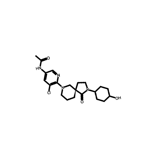 CC(=O)Nc1cnc(N2CCC[C@]3(CCN(C4CCC(O)CC4)C3=O)C2)c(Cl)c1